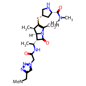 CNCc1cn(CC(=O)NC(C)[C@H]2C(=O)N3C(C(=O)O)=C(S[C@@H]4CN[C@H](C(=O)N(C)C)C4)[C@H](C)[C@H]23)nn1